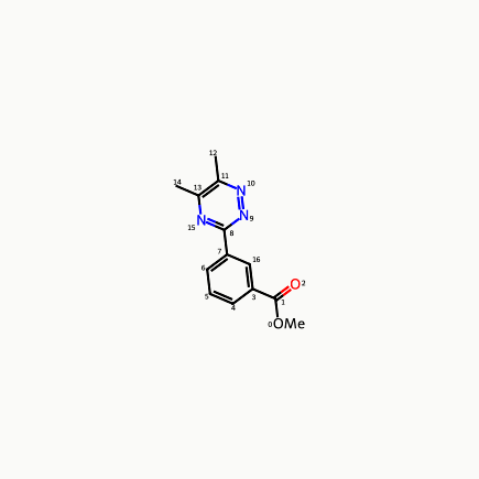 COC(=O)c1cccc(-c2nnc(C)c(C)n2)c1